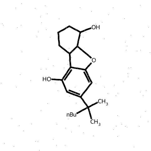 CCCCC(C)(C)c1cc(O)c2c(c1)OC1C(O)CCCC21